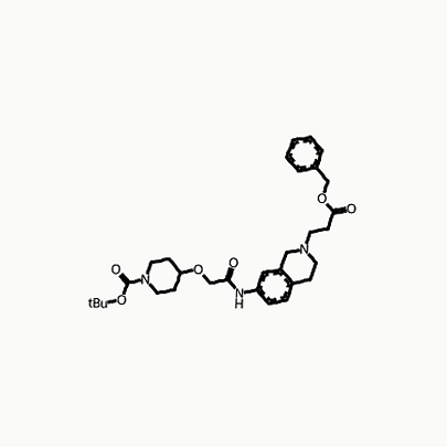 CC(C)(C)OC(=O)N1CCC(OCC(=O)Nc2ccc3c(c2)CN(CCC(=O)OCc2ccccc2)CC3)CC1